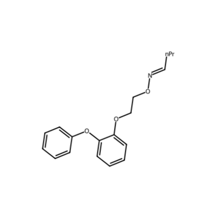 CCCC=NOCCOc1ccccc1Oc1ccccc1